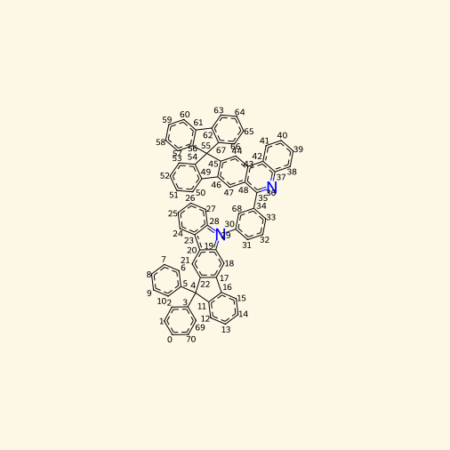 c1ccc(C2(c3ccccc3)c3ccccc3-c3cc4c(cc32)c2ccccc2n4-c2cccc(-c3nc4ccccc4c4cc5c(cc34)-c3ccccc3C53c4ccccc4-c4ccccc43)c2)cc1